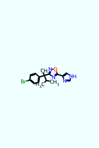 CC(C)C(C)(c1ccc(Br)cc1)c1noc(-c2c[nH]cn2)n1